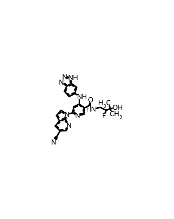 CC(C)(O)C(F)CNC(=O)c1cnc(-n2ccc3cc(C#N)cnc32)cc1Nc1ccc2nn[nH]c2c1